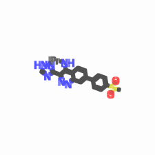 CC(C)Nc1c(-c2nc[nH]n2)nnc2cc(-c3ccc(S(C)(=O)=O)cc3)ccc12